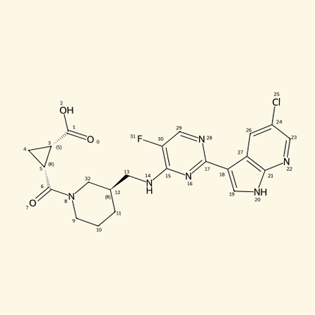 O=C(O)[C@H]1C[C@H]1C(=O)N1CCC[C@H](CNc2nc(-c3c[nH]c4ncc(Cl)cc34)ncc2F)C1